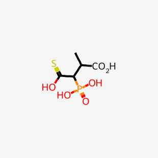 CC(C(=O)O)C(C(O)=S)P(=O)(O)O